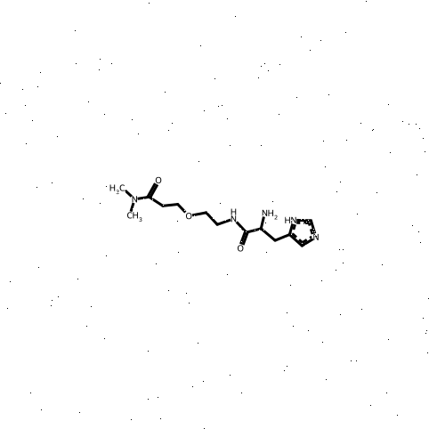 CN(C)C(=O)CCOCCNC(=O)C(N)Cc1cnc[nH]1